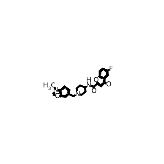 Cn1ccc2cc(CN3CCC(NC(=O)c4cc(=O)c5cc(F)ccc5o4)CC3)ccc21